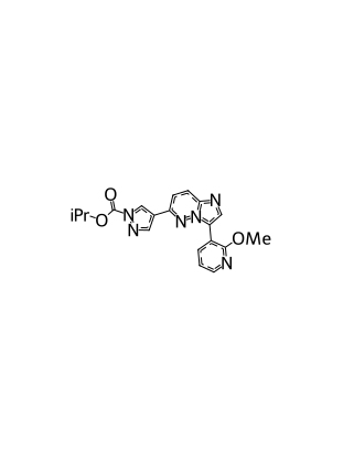 COc1ncccc1-c1cnc2ccc(-c3cnn(C(=O)OC(C)C)c3)nn12